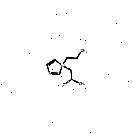 CCC[N+]1(CC(C)C)C=CN=C1